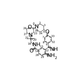 CN1CCC(Oc2ccc(C(=N)c3cc(C(=O)NCC(C)(C)N4CCOCC4)ccc3N)cc2)CC1